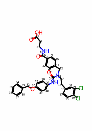 O=C(O)CCNC(=O)c1ccc(CN(CCc2ccc(Cl)c(Cl)c2)C(=O)Nc2ccc(OCc3ccccc3)cc2)cc1